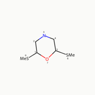 CSC1C[N]CC(SC)O1